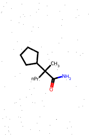 CCCC(C)(C(N)=O)C1CCCC1